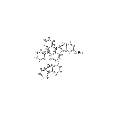 CC(C)(C)c1ccc2sc3c(c2c1)-c1cc(-c2cccc4c2oc2ccccc24)cc2c1B3c1ccccc1N2c1ccccc1